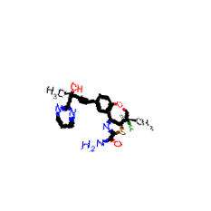 C[C@]1(F)COc2ccc(C#C[C@@](C)(O)c3ncccn3)cc2-c2nc(C(N)=O)sc21